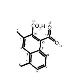 Cc1cc2c(C)cccc2c(I(=O)=O)c1C(=O)O